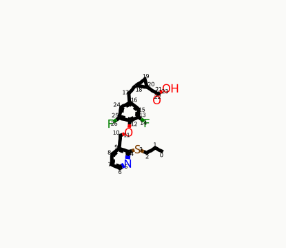 CCCSc1ncccc1COc1c(F)cc(CC2CC2C(=O)O)cc1F